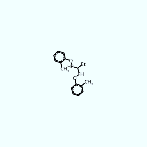 CCC(POc1ccccc1C)POc1ccccc1C